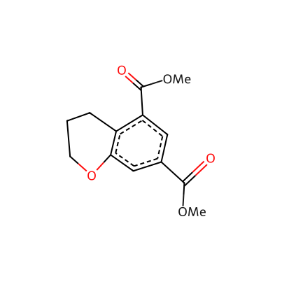 COC(=O)c1cc2c(c(C(=O)OC)c1)CCCO2